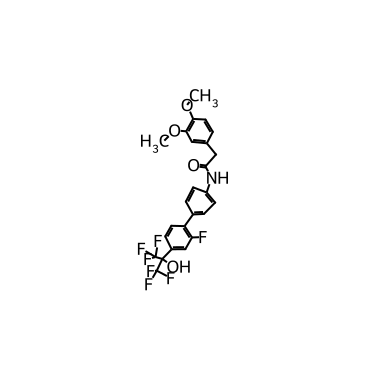 COc1ccc(CC(=O)Nc2ccc(-c3ccc(C(O)(C(F)(F)F)C(F)(F)F)cc3F)cc2)cc1OC